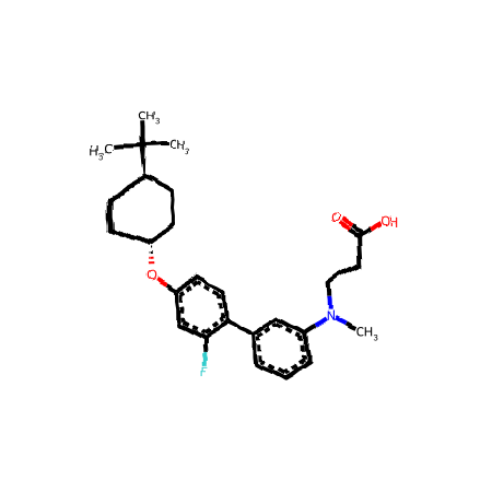 CN(CCC(=O)O)c1cccc(-c2ccc(O[C@H]3CC[C@H](C(C)(C)C)CC3)cc2F)c1